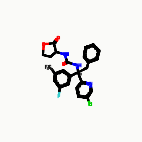 O=C(NC1CCOC1=O)N[C@@](Cc1ccccc1)(c1cc(F)cc(C(F)(F)F)c1)c1ccc(Cl)cn1